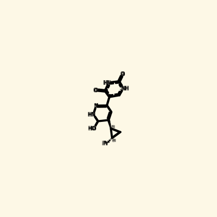 CC(C)[C@H]1C[C@@H]1C1=CC(c2c[nH]c(=O)[nH]c2=O)=NNC1O